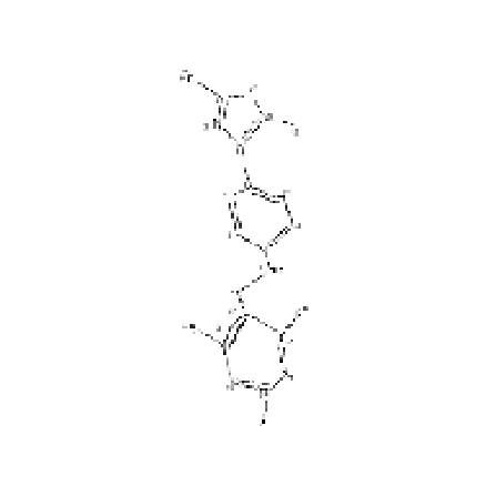 CCc1nc(-c2ccc(NCc3c(F)cc(C)cc3F)cc2)c(C)s1